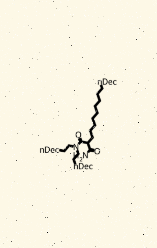 CCCCCCCCCCCCCCCCCCCC(C(N)=O)C(=O)N(CCCCCCCCCCCC)CCCCCCCCCCCC